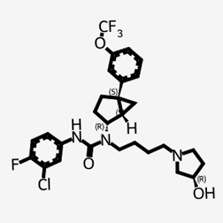 O=C(Nc1ccc(F)c(Cl)c1)N(CCCCN1CC[C@@H](O)C1)[C@@H]1CC[C@]2(c3cccc(OC(F)(F)F)c3)C[C@H]12